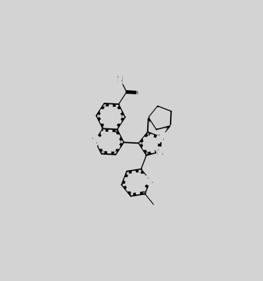 Cc1cccc(-c2nn3c(c2-c2ccnc4ccc(C(N)=O)cc24)C2CCC3C2)n1